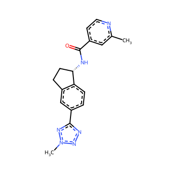 Cc1cc(C(=O)N[C@H]2CCc3cc(-c4nnn(C)n4)ccc32)ccn1